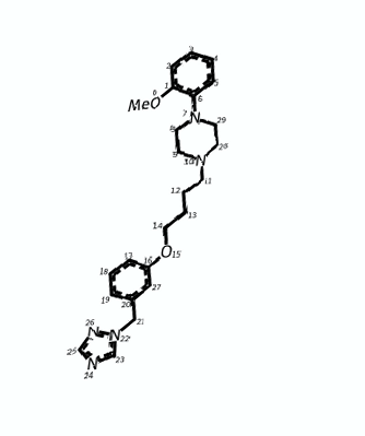 COc1ccccc1N1CCN(CCCCOc2cccc(Cn3cncn3)c2)CC1